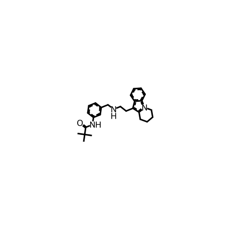 CC(C)(C)C(=O)Nc1cccc(CNCCc2c3n(c4ccccc24)CCCC3)c1